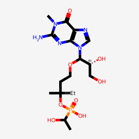 CCC(C)(CCOC([C@H](O)CO)n1cnc2c(=O)n(C)c(N)nc21)OP(=O)(O)C(C)O